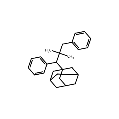 CC(C)(Cc1ccccc1)C(c1ccccc1)C12CC3CC(CC(C3)C1)C2